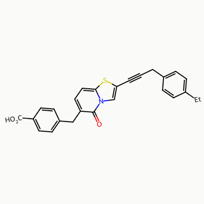 CCc1ccc(CC#Cc2cn3c(=O)c(Cc4ccc(C(=O)O)cc4)ccc3s2)cc1